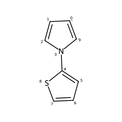 [c]1ccn(-c2cccs2)c1